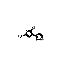 FC(F)(F)c1cc(-c2cc[nH]n2)c(Cl)s1